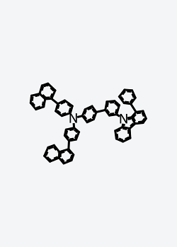 c1ccc(-c2cccc3c4ccccc4n(-c4cccc(-c5ccc(N(c6ccc(-c7cccc8ccccc78)cc6)c6ccc(-c7cccc8ccccc78)cc6)cc5)c4)c23)cc1